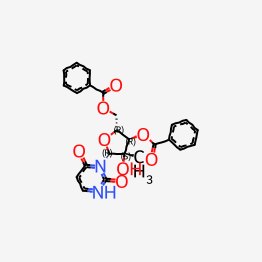 C[C@]1(O)[C@H](OC(=O)c2ccccc2)[C@@H](COC(=O)c2ccccc2)O[C@H]1n1c(=O)cc[nH]c1=O